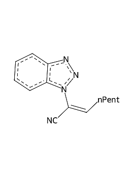 CCCCC/C=C(/C#N)n1nnc2ccccc21